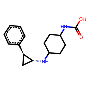 O=C(O)NC1CCC(N[C@@H]2C[C@H]2c2ccccc2)CC1